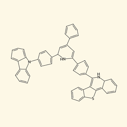 C1=CC2=c3sc4ccccc4c3=C(c3ccc(C4=CC(c5ccccc5)=CC(c5ccc(-n6c7ccccc7c7ccccc76)cc5)N4)cc3)NC2C=C1